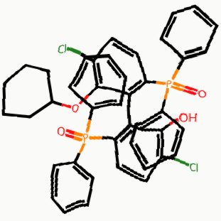 O=P(c1ccccc1)(c1ccccc1)c1ccc(Cl)c(O)c1-c1c(P(=O)(c2ccccc2)c2ccccc2)ccc(Cl)c1OC1CCCCC1